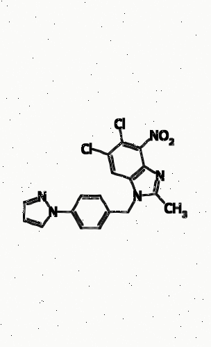 Cc1nc2c([N+](=O)[O-])c(Cl)c(Cl)cc2n1Cc1ccc(-n2cccn2)cc1